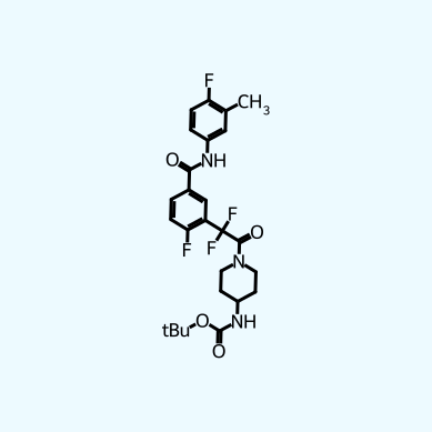 Cc1cc(NC(=O)c2ccc(F)c(C(F)(F)C(=O)N3CCC(NC(=O)OC(C)(C)C)CC3)c2)ccc1F